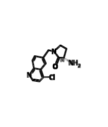 N[C@H]1CCN(Cc2ccc3nccc(Cl)c3c2)C1=O